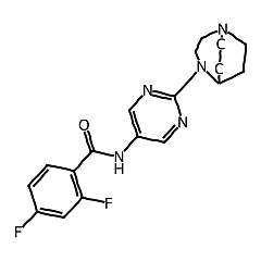 O=C(Nc1cnc(N2CCN3CCC2CC3)nc1)c1ccc(F)cc1F